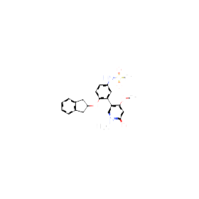 CCOc1cc(=O)n(C)cc1-c1cc(NS(=O)(=O)CC)ccc1OC1Cc2ccccc2C1